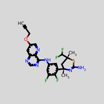 C#CCOc1cnc2c(Nc3cc(F)c(F)c([C@]4(C)C[C@](C)(C(F)F)SC(N)=N4)c3)ncnc2c1